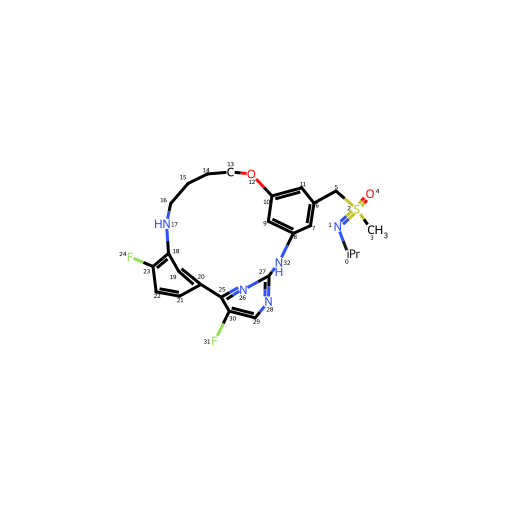 CC(C)N=S(C)(=O)Cc1cc2cc(c1)OCCCCNc1cc(ccc1F)-c1nc(ncc1F)N2